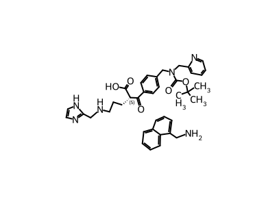 CC(C)(C)OC(=O)N(Cc1ccc(C(=O)[C@H](CCCNCc2ncc[nH]2)C(=O)O)cc1)Cc1ccccn1.NCc1cccc2ccccc12